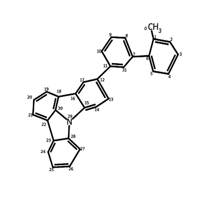 Cc1ccccc1-c1cccc(-c2ccc3c(c2)c2cccc4c5ccccc5n3c42)c1